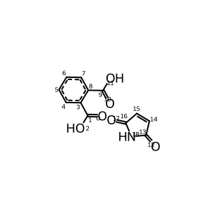 O=C(O)c1ccccc1C(=O)O.O=C1C=CC(=O)N1